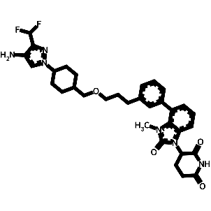 Cn1c(=O)n(C2CCC(=O)NC2=O)c2cccc(-c3cccc(CCCOCC4CCC(n5cc(N)c(C(F)F)n5)CC4)c3)c21